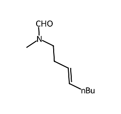 [CH2]CCCC=CCCN(C)C=O